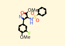 COc1ccc(-c2noc(OC)c2NS(=O)(=O)c2ccccc2)cc1F